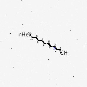 [CH]=C/C=C/C=CCCCCCCCCCCC